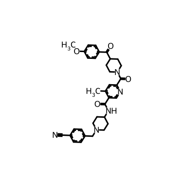 COc1ccc(C(=O)C2CCN(C(=O)c3cc(C)c(C(=O)NC4CCN(Cc5ccc(C#N)cc5)CC4)cn3)CC2)cc1